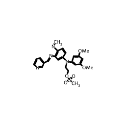 C=Nc1ccc(N(CCOS(C)(=O)=O)c2cc(OC)cc(OC)c2)cc1/N=C/c1cccnc1